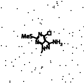 CSc1nc(Cl)c2c(N)nn(C)c2n1